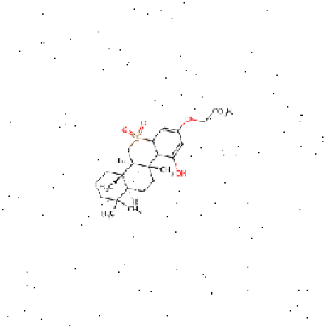 CC1(C)CCC[C@]2(C)[C@H]3CS(=O)(=O)C4C=C(OCC(=O)O)C=C(O)C4[C@]3(C)CC[C@@H]12